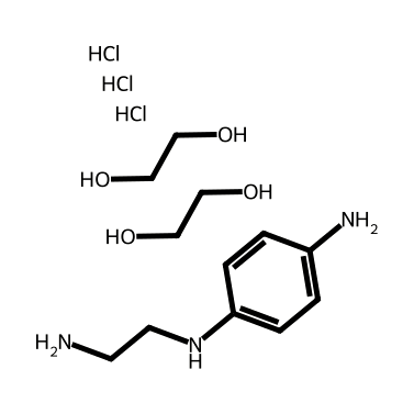 Cl.Cl.Cl.NCCNc1ccc(N)cc1.OCCO.OCCO